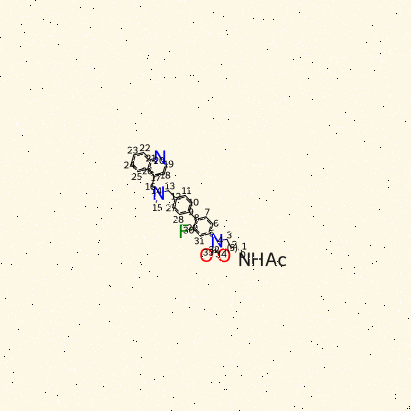 CC(=O)NC[C@H]1CN(c2ccc(-c3ccc(CN(C)Cc4ccnc5ccccc45)cc3)c(F)c2)C(=O)O1